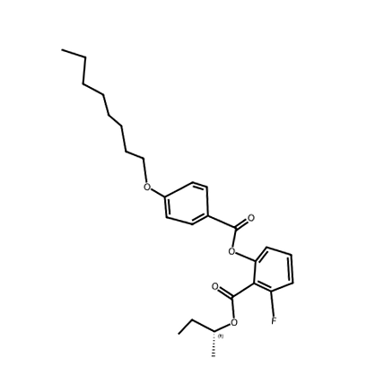 CCCCCCCCOc1ccc(C(=O)Oc2cccc(F)c2C(=O)O[C@H](C)CC)cc1